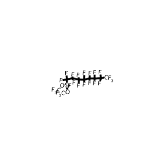 FC(F)(F)O[Si](F)(OC(F)(F)F)C(F)(F)C(F)(F)C(F)(F)C(F)(F)C(F)(F)C(F)(F)C(F)(F)C(F)(F)F